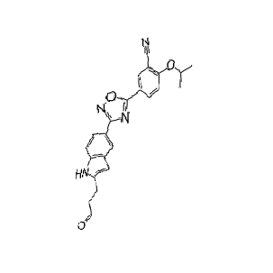 CC(C)Oc1ccc(-c2nc(-c3ccc4[nH]c(CCC=O)cc4c3)no2)cc1C#N